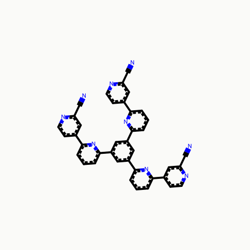 N#Cc1cc(-c2cccc(-c3cc(-c4cccc(-c5ccnc(C#N)c5)n4)cc(-c4cccc(-c5ccnc(C#N)c5)n4)c3)n2)ccn1